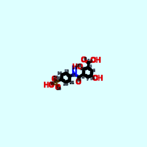 O=C(O)c1cc(O)cc(C(=O)Nc2ccc(S(=O)(=O)O)cc2)c1O